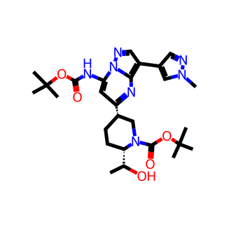 CC(O)[C@@H]1CC[C@H](c2cc(NC(=O)OC(C)(C)C)n3ncc(-c4cnn(C)c4)c3n2)CN1C(=O)OC(C)(C)C